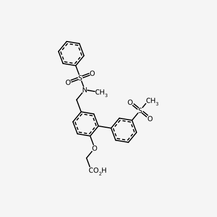 CN(Cc1ccc(OCC(=O)O)c(-c2cccc(S(C)(=O)=O)c2)c1)S(=O)(=O)c1ccccc1